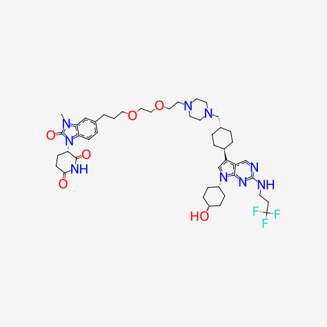 Cn1c(=O)n([C@H]2CCC(=O)NC2=O)c2ccc(CCCOCCOCCN3CCN(C[C@H]4CC[C@H](c5cn([C@H]6CC[C@H](O)CC6)c6nc(NCCC(F)(F)F)ncc65)CC4)CC3)cc21